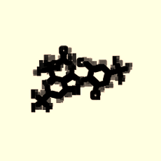 CC(=O)Nc1c2c(C(F)(F)F)nc(C(F)(F)F)cc2nn1-c1c(Cl)cc(C(F)(F)F)cc1Cl